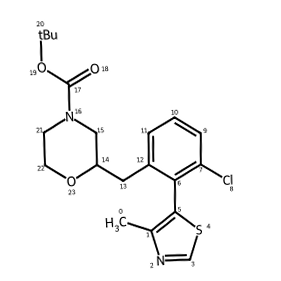 Cc1ncsc1-c1c(Cl)cccc1CC1CN(C(=O)OC(C)(C)C)CCO1